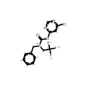 O=C(Oc1cc(Cl)ncn1)N(Cc1ccccc1)CC(F)(F)F